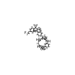 O=C(Nc1ccc(-c2cnc3nc2NCCCNS(=O)(=O)c2cccc(c2)N3)cc1F)C1(c2ccc(C(F)(F)F)cc2)CC1